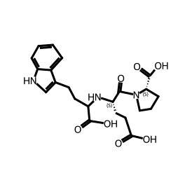 O=C(O)CC[C@H](NC(CCc1c[nH]c2ccccc12)C(=O)O)C(=O)N1CCC[C@H]1C(=O)O